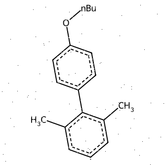 CCCCOc1ccc(-c2c(C)c[c]cc2C)cc1